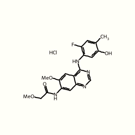 COCC(=O)Nc1cc2ncnc(Nc3cc(O)c(C)cc3F)c2cc1OC.Cl